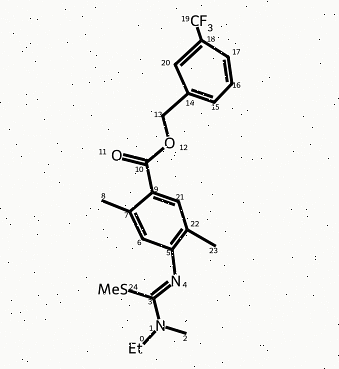 CCN(C)/C(=N/c1cc(C)c(C(=O)OCc2cccc(C(F)(F)F)c2)cc1C)SC